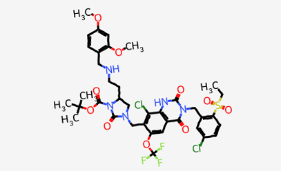 CCS(=O)(=O)c1ccc(Cl)cc1Cn1c(=O)[nH]c2c(Cl)c(CN3CC(CCNCc4ccc(OC)cc4OC)N(C(=O)OC(C)(C)C)C3=O)c(OC(F)(F)F)cc2c1=O